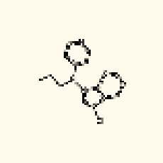 CCCN(c1ccncc1)n1cc(Cl)c2ccccc21